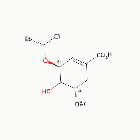 CCC(CC)O[C@H]1C=C(C(=O)O)C[C@H](OC(C)=O)C1O